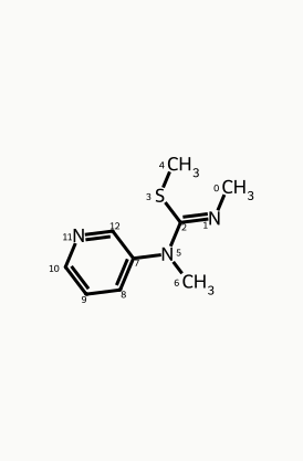 CN=C(SC)N(C)c1cccnc1